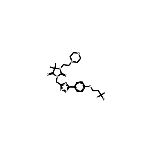 CC1(C)C(=O)N(Cc2nc(-c3ccc(OCCC(F)(F)F)cc3)no2)C(=O)N1CCN1CCOCC1